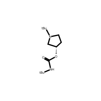 CC(C)(C)NC(=O)O[C@H]1CCN(C(C)(C)C)C1